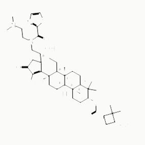 CC(C)C1=C2[C@H]3CC[C@@H]4[C@@]5(C)CC[C@H](OC(=O)[C@H]6C[C@@H](C(=O)O)C6(C)C)C(C)(C)[C@@H]5CC[C@@]4(C)[C@]3(C)CC[C@@]2([C@@H](O)CN(CCN(C)C)C(=O)c2nccs2)CC1=O